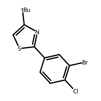 CC(C)(C)c1csc(-c2ccc(Cl)c(Br)c2)n1